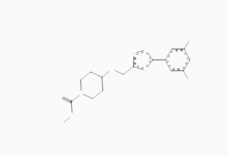 CC(C)(C)OC(=O)N1CCC(OCc2noc(-c3cc(F)cc(C#N)c3)n2)CC1